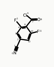 N#Cc1cc(F)c(C(=O)Cl)c(F)c1